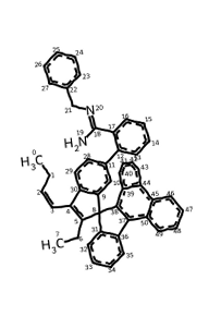 CC/C=C\C1=C(CC)C2(c3cc(-c4ccccc4/C(N)=N/Cc4ccccc4)ccc31)c1ccccc1-c1c2c2ccccc2c2ccccc12